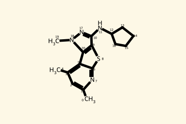 Cc1cc(C)c2c(n1)sc1c(NC3CCCC3)nn(C)c12